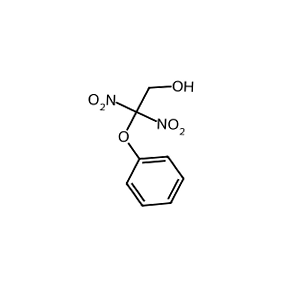 O=[N+]([O-])C(CO)(Oc1ccccc1)[N+](=O)[O-]